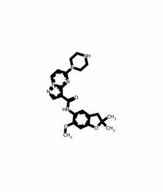 COc1cc2c(cc1NC(=O)c1cnn3ccc(N4CCNCC4)nc13)CC(C)(C)O2